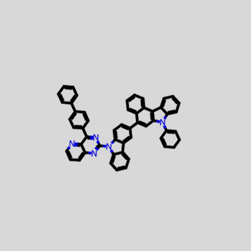 C1=CC(n2c3ccccc3c3c4ccccc4c(-c4ccc5c(c4)c4ccccc4n5-c4nc(-c5ccc(-c6ccccc6)cc5)c5ncccc5n4)cc32)=CCC1